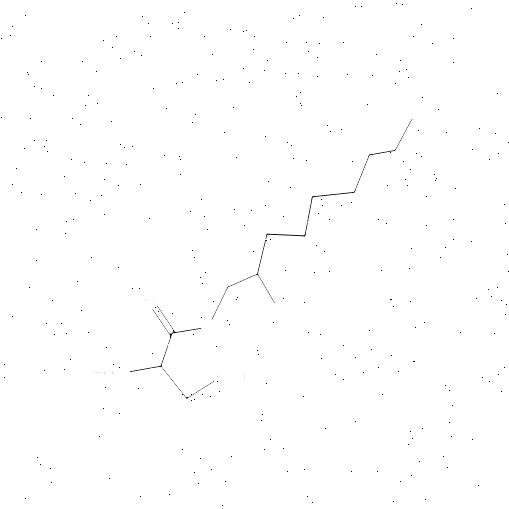 O=C(O)CC(C(=O)OCC(I)CCCCCCI)S(=O)(=O)O